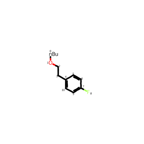 CCCCOCCc1ccc(F)cc1